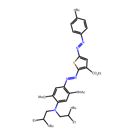 CCCCc1ccc(N=Nc2cc(C(=O)OCC)c(N=Nc3cc(OC)c(N(CC(CC)CCCC)CC(CC)CCCC)cc3NC(C)=O)s2)cc1